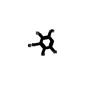 CCC[n+]1cc(CC)c(CC)c(CC)c1CC.[Cl-]